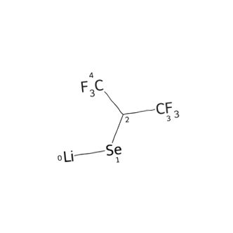 [Li][Se]C(C(F)(F)F)C(F)(F)F